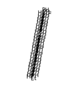 CCPPPPPPPPPPPPPPPPPPPPPPPPPPPPPPPPPPPPPPPPPPP